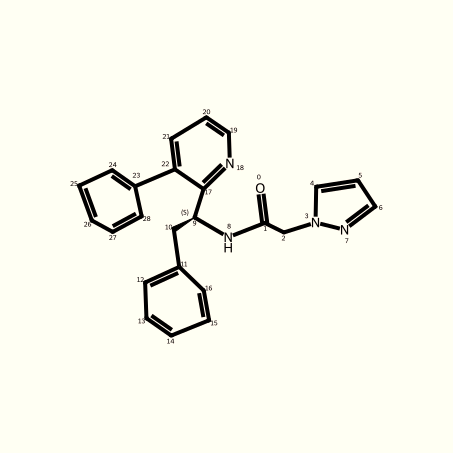 O=C(Cn1cccn1)N[C@@H](Cc1ccccc1)c1ncccc1-c1ccccc1